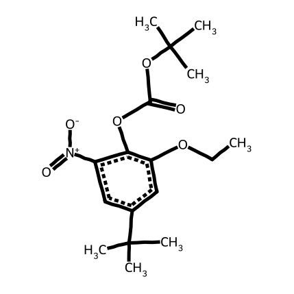 CCOc1cc(C(C)(C)C)cc([N+](=O)[O-])c1OC(=O)OC(C)(C)C